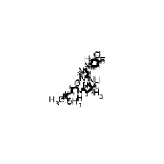 Cc1ccc(NC(=O)/C=C/CN(C)C)nc1Nc1cc(Nc2ccc(F)c(Cl)c2)ncn1